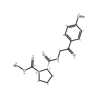 COc1ccc(C(=O)COC(=O)[C@@H]2CCCN2C(=O)OC(C)(C)C)cc1